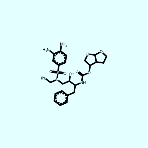 CC(C)CN(CC(O)C(Cc1ccccc1)NC(=O)OC1COC2OCCC12)S(=O)(=O)c1ccc(N)c(N)c1